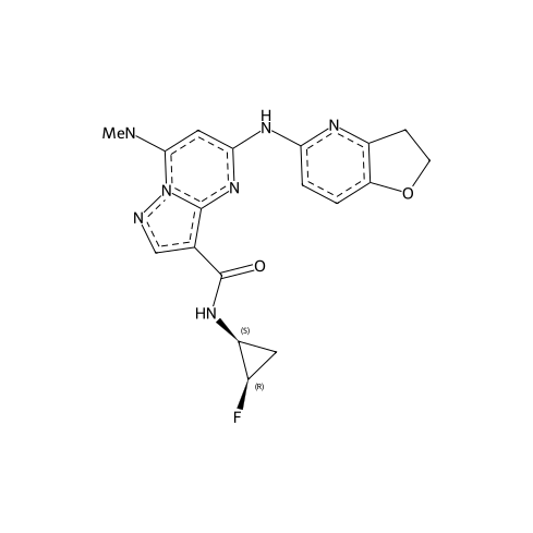 CNc1cc(Nc2ccc3c(n2)CCO3)nc2c(C(=O)N[C@H]3C[C@H]3F)cnn12